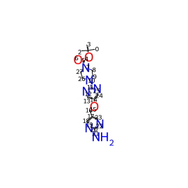 CC(C)(C)OC(=O)N1CCN(c2ncc(OCc3cnc(N)nc3)cn2)CC1